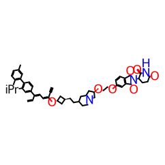 C#C/C(=C\C=C(/C=C)c1ccc(-c2cc(C)ccc2C)c(C(C)C)c1)O[C@H]1C[C@H](CCC2CCN3C[C@H](OCCOc4ccc5c(c4)C(=O)N(C4CCC(=O)NC4=O)C5=O)CC3C2)C1